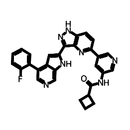 O=C(Nc1cncc(-c2ccc3[nH]nc(-c4cc5c(-c6ccccc6F)cncc5[nH]4)c3n2)c1)C1CCC1